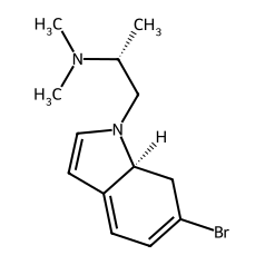 C[C@H](CN1C=CC2=CC=C(Br)C[C@@H]21)N(C)C